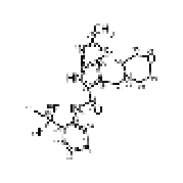 Cc1nc2[nH]c(C(=O)Nc3ccccc3C(F)(F)F)c(CN3CCOCC3)c2s1